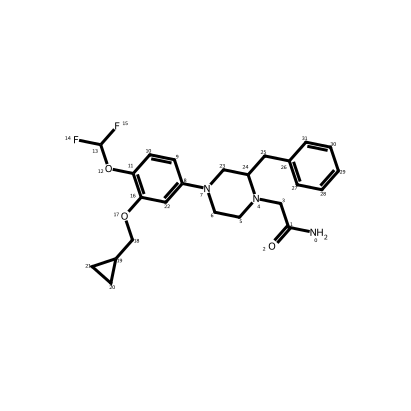 NC(=O)CN1CCN(c2ccc(OC(F)F)c(OCC3CC3)c2)CC1Cc1ccccc1